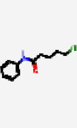 O=C(CCCCCl)Nc1c[c]ccc1